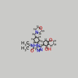 CC(C)NC(=O)c1nnc(-c2ccc3c(c2O)CCCO3)n1-c1ccc(CN2CCOCC2)cc1